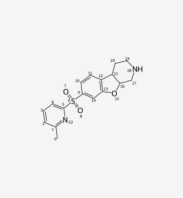 Cc1cccc(S(=O)(=O)c2ccc3c(c2)OC2CNCCC32)n1